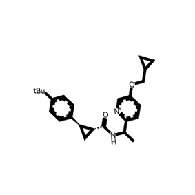 CC(NC(=O)[C@@H]1C[C@H]1c1ccc(C(C)(C)C)cc1)c1ccc(OCC2CC2)cn1